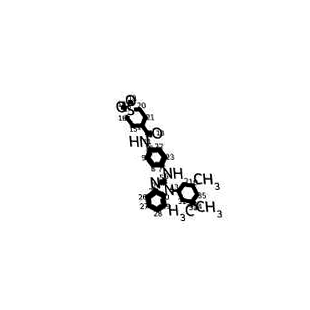 C[C@@H]1C[C@H](n2c(Nc3ccc(NC(=O)C4CCS(=O)(=O)CC4)cc3)nc3ccccc32)CC(C)(C)C1